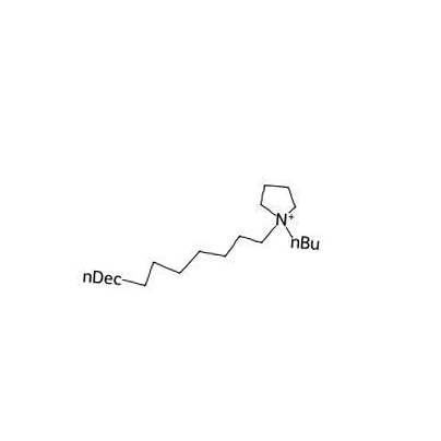 CCCCCCCCCCCCCCCCC[N+]1(CCCC)CCCC1